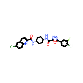 O=C(N[C@H]1CC[C@H](NC(=O)c2nnc(-c3ccc(Cl)c(F)c3)o2)CC1)c1ccc2cc(Cl)ccc2n1